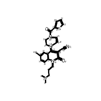 CN(C)CCCn1c(=O)c(C#N)c(N2CCN(C(=O)c3cccs3)CC2)c2cc(I)ccc21